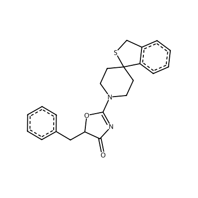 O=C1N=C(N2CCC3(CC2)SCc2ccccc23)OC1Cc1ccccc1